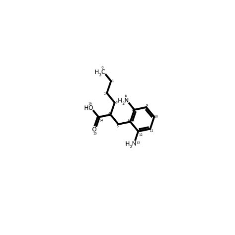 CCCCC(Cc1c(N)cccc1N)C(=O)O